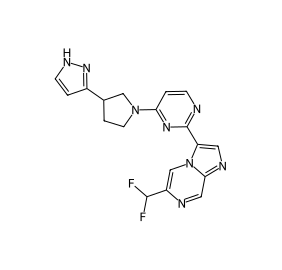 FC(F)c1cn2c(-c3nccc(N4CCC(c5cc[nH]n5)C4)n3)cnc2cn1